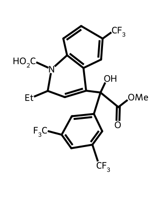 CCC1C=C(C(O)(C(=O)OC)c2cc(C(F)(F)F)cc(C(F)(F)F)c2)c2cc(C(F)(F)F)ccc2N1C(=O)O